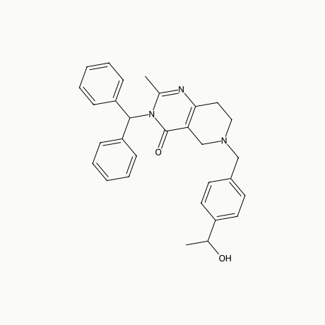 Cc1nc2c(c(=O)n1C(c1ccccc1)c1ccccc1)CN(Cc1ccc(C(C)O)cc1)CC2